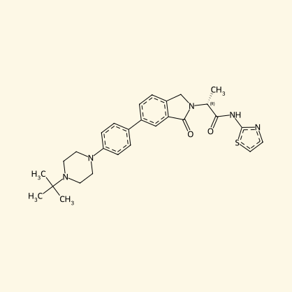 C[C@H](C(=O)Nc1nccs1)N1Cc2ccc(-c3ccc(N4CCN(C(C)(C)C)CC4)cc3)cc2C1=O